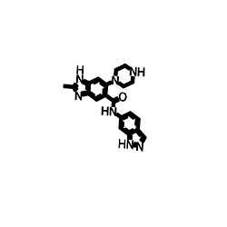 Cc1nc2cc(C(=O)Nc3ccc4cn[nH]c4c3)c(N3CCNCC3)cc2[nH]1